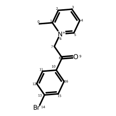 Cc1cccc[n+]1CC(=O)c1ccc(Br)cc1